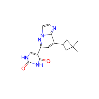 CC1(C)CC(c2cc(-c3c[nH]c(=O)[nH]c3=O)nn3ccnc23)C1